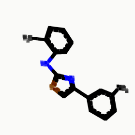 O=[N+]([O-])c1cccc(-c2csc(Nc3ccccc3C(F)(F)F)n2)c1